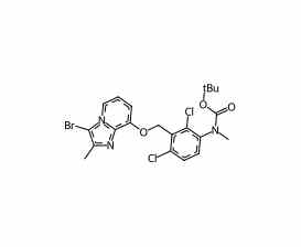 Cc1nc2c(OCc3c(Cl)ccc(N(C)C(=O)OC(C)(C)C)c3Cl)cccn2c1Br